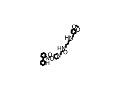 O=C(CCN1CCC(OC(=O)Nc2ccccc2-c2ccccc2)CC1)NCCCCCNCc1ccc2c(c1)OCCO2